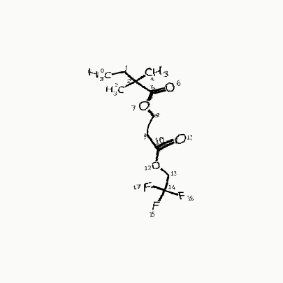 CCC(C)(C)C(=O)OCCC(=O)OCC(F)(F)F